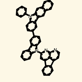 c1ccc(-n2c3ccc(-c4ccc5c(c4)c4ccccc4n5-c4cc5c6c(ccnc6n4)-c4ccccc4-5)cc3c3cc4ccccc4cc32)cc1